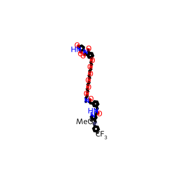 COc1cnc(C(=O)NCc2cccc(CC(=O)N(C)CCOCCOCCOCCOCCOCCOc3ccc4c(c3)C(=O)N(C3CCC(=O)NC3=O)C4=O)c2)cc1/C=C/C1CCC(C(F)(F)F)CC1